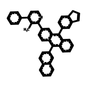 Cc1c(-c2ccccc2)ccnc1-c1ccc2c(-c3ccc4ccccc4c3)c3ccccc3c(-c3ccc4c(c3)C=CC4)c2c1